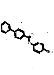 CCC(C)c1ccc(OC(=O)c2ccc(-c3ccccc3)cc2)cc1